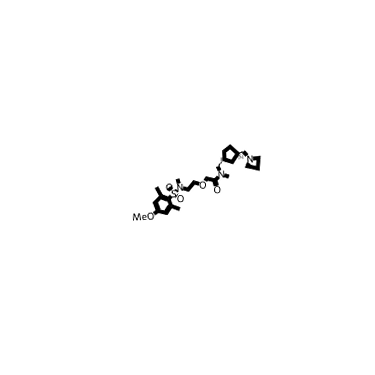 COc1cc(C)c(S(=O)(=O)N(C)CCOCC(=O)N(C)C[C@@H]2CC[C@H](CN3CCC3)C2)c(C)c1